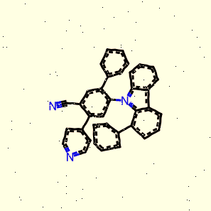 N#Cc1cc(-c2ccccc2)c(-n2c3ccccc3c3cccc(-c4ccccc4)c32)cc1-c1ccncc1